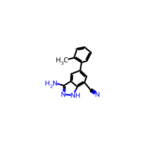 Cc1[c]cccc1-c1cc(C#N)c2[nH]nc(N)c2c1